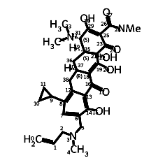 C=CCN(C)Cc1cc(C2CC2)c2c(c1O)C(=O)C1=C(O)[C@]3(O)C(=O)C(C(=O)NC)=C(O)[C@@H](N(C)C)[C@@H]3C[C@@H]1C2